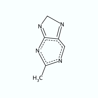 Cc1ncc2c(n1)=NCN=2